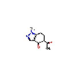 CC(=O)C1CCc2c(cnn2C)C1=O